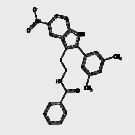 Cc1cc(C)cc(-c2[nH]c3ccc([N+](=O)[O-])cc3c2CCNC(=O)c2ccccc2)c1